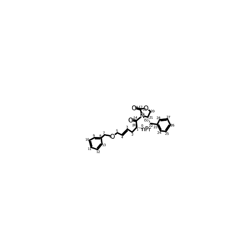 CCC[C@H](CC=CCOCc1ccccc1)C(=O)N1C(=O)OC[C@@H]1Cc1ccccc1